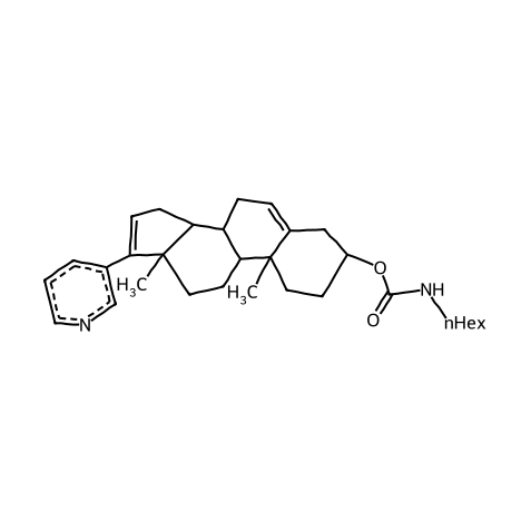 CCCCCCNC(=O)OC1CCC2(C)C(=CCC3C2CCC2(C)C(c4cccnc4)=CCC32)C1